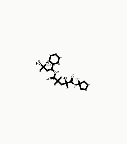 CCC1(OC(=O)C(C)(CC)CC(C)(C)C(=O)OC(CC(C)(O)C(F)(F)F)C2CCCCC2)CCCC1